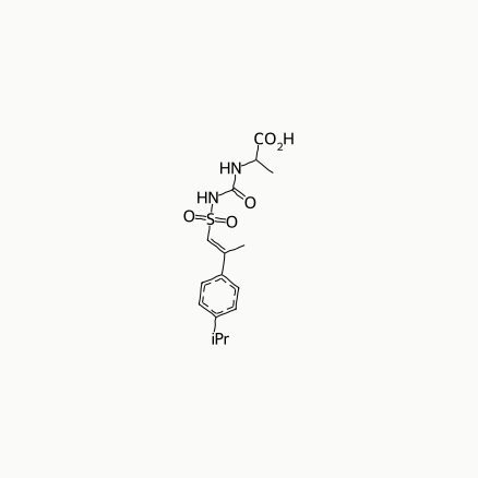 CC(=CS(=O)(=O)NC(=O)NC(C)C(=O)O)c1ccc(C(C)C)cc1